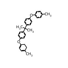 CC1=CC=C(Oc2ccc(C(C)(C)c3ccc(Oc4ccc(C)cc4)cc3)cc2)CC1